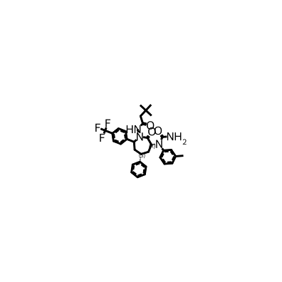 Cc1cccc(N(C(N)=O)[C@@H]2C[C@H](c3ccccc3)CC(c3ccc(C(F)(F)F)cc3)N(NC(=O)CC(C)(C)C)C2=O)c1